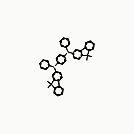 CC1(C)c2ccccc2-c2cc(N(c3ccccc3)c3ccc(N(c4ccccc4)c4ccc5c(c4)C(C)(C)c4ccccc4-5)cc3)ccc21